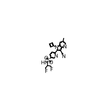 Cc1cnc2c(C#N)c(-c3ccc(S(=O)(=O)NC(CF)CF)cn3)n(C3=CC=C3)c2c1